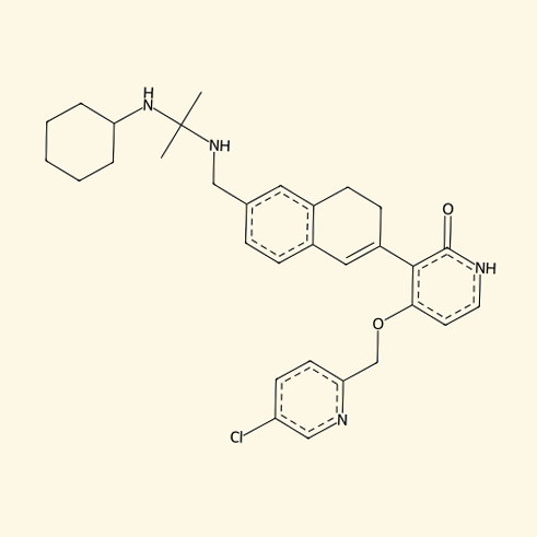 CC(C)(NCc1ccc2c(c1)CCC(c1c(OCc3ccc(Cl)cn3)cc[nH]c1=O)=C2)NC1CCCCC1